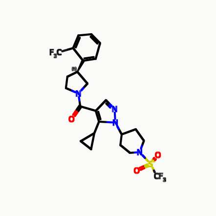 O=C(c1cnn(C2CCN(S(=O)(=O)C(F)(F)F)CC2)c1C1CC1)N1CC[C@@H](c2ccccc2C(F)(F)F)C1